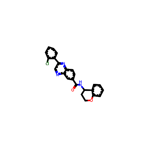 O=C(NC1CCOc2ccccc21)c1ccc2nc(-c3ccccc3Cl)cnc2c1